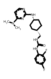 CN(C)c1ccnc(N[C@H]2CC[C@@H](CNC(=O)Nc3ccc(F)cc3F)CC2)n1